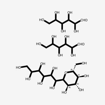 O=CC(O)C(O)C(O)C(O)CO.O=CC(O)C(O)C(O)C(O)CO.OCC(O)C(O)C(O)C(O)C(O)C1O[C@H](CO)[C@@H](O)[C@H](O)[C@H]1O